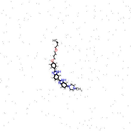 C#CCCOCCCCOc1ccc(-c2nc3ccc(-c4nc5ccc(N6CCN(C)CC6)cc5[nH]4)cc3[nH]2)cc1